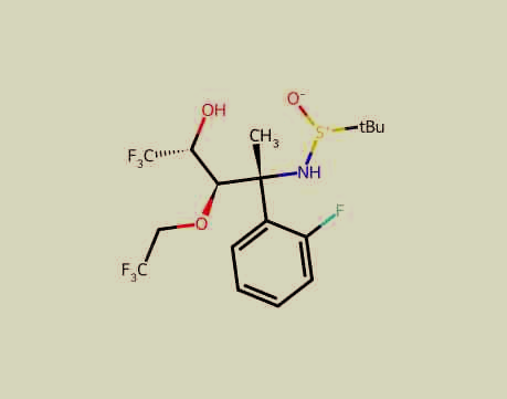 CC(C)(C)[S+]([O-])N[C@](C)(c1ccccc1F)[C@@H](OCC(F)(F)F)[C@@H](O)C(F)(F)F